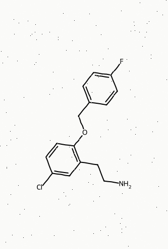 NCCc1cc(Cl)ccc1OCc1ccc(F)cc1